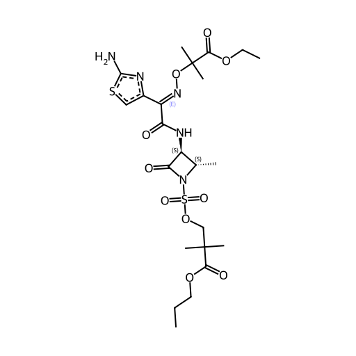 CCCOC(=O)C(C)(C)COS(=O)(=O)N1C(=O)[C@@H](NC(=O)/C(=N/OC(C)(C)C(=O)OCC)c2csc(N)n2)[C@@H]1C